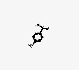 CCCC(CCC)c1ccc(P)cc1